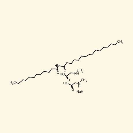 CCCCCCCCCCCCCCCC(=O)NC(=O)CCCCCCCCCCC.CNCC(=O)O.CNCC(=O)O.[NaH]